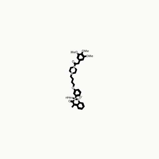 CCCCCC[N+]1(c2cccc(OCCCCN3CCN(C(=O)Cc4cc(OC)c(OC)c(OC)c4)CC3)c2)C(=O)C(C)=C2C=CC=CC2[S+]1[O-]